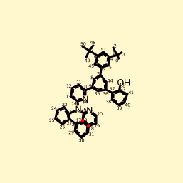 CC(C)(C)c1cc(-c2cc(-c3cccc(N(c4ccccn4)c4ccccc4-c4ccccc4)n3)cc(-c3ccccc3O)c2)cc(C(C)(C)C)c1